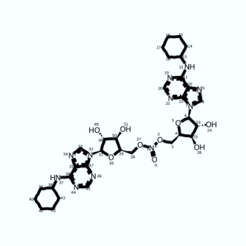 O=[N+](OC[C@H]1O[C@@H](n2cnc3c(NC4CCCCC4)ncnc32)[C@H](O)[C@H]1O)OC[C@H]1O[C@@H](n2cnc3c(NC4CCCCC4)ncnc32)[C@H](O)[C@H]1O